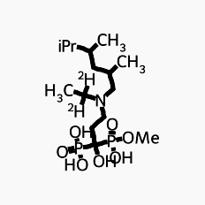 [2H]C([2H])(C)N(CCC(O)(P(=O)(O)O)P(=O)(O)OC)CC(C)CC(C)C(C)C